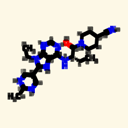 CC[C@H](Nc1ncnc2c1nc(-c1cnc(C)nc1)n2CC)C(=O)N1CCC(C#N)CC1